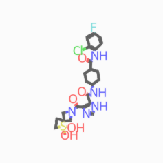 O=C(NC1CCC(C(=O)Nc2ccc(F)cc2Cl)CC1)c1[nH]cnc1C(=O)N1CC2(CCS2(O)O)C1